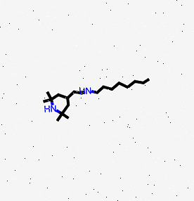 CCCCCCCCNCCC1CC(C)(C)NC(C)(C)C1